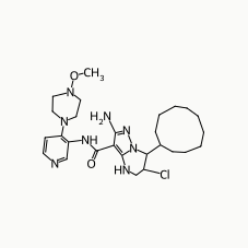 CON1CCN(c2ccncc2NC(=O)c2c(N)nn3c2NCC(Cl)C3C2CCCCCCCCC2)CC1